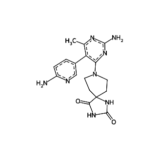 Cc1nc(N)nc(N2CCC3(CC2)NC(=O)NC3=O)c1-c1ccc(N)nc1